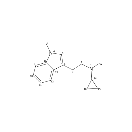 CN(CCc1cn(C)c2ccccc12)C1CC1